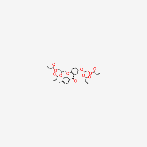 C=CC(=O)OCC(COc1ccc(OC(COC(=O)C=C)OC(=O)C=C)cc1C(=O)c1ccc(C)cc1)OC(=O)C=C